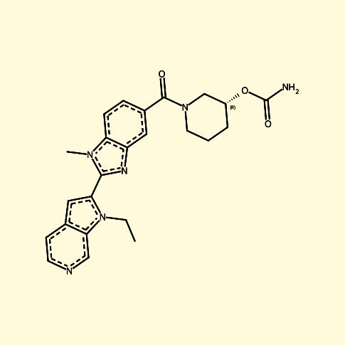 CCn1c(-c2nc3cc(C(=O)N4CCC[C@@H](OC(N)=O)C4)ccc3n2C)cc2ccncc21